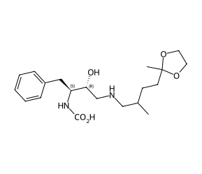 CC(CCC1(C)OCCO1)CNC[C@@H](O)[C@H](Cc1ccccc1)NC(=O)O